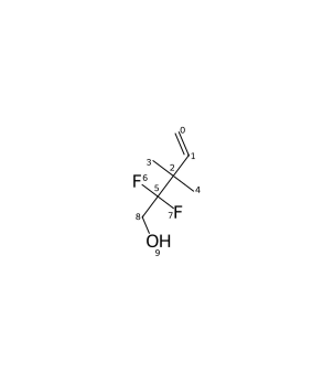 C=CC(C)(C)C(F)(F)CO